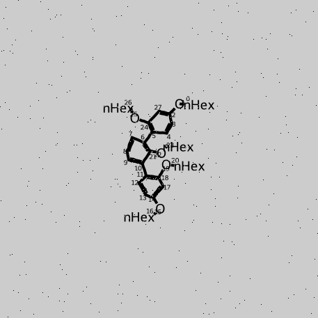 CCCCCCOc1ccc(-c2cccc(-c3ccc(OCCCCCC)cc3OCCCCCC)c2OCCCCCC)c(OCCCCCC)c1